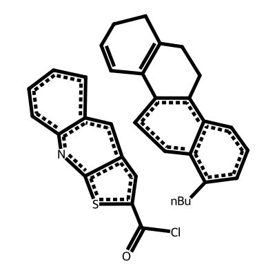 CCCCc1cccc2c3c(ccc12)C1=C(CCC=C1)CC3.O=C(Cl)c1cc2cc3ccccc3nc2s1